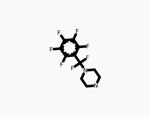 Fc1c(F)c(F)c(C(F)(F)N2CC[N]CC2)c(F)c1F